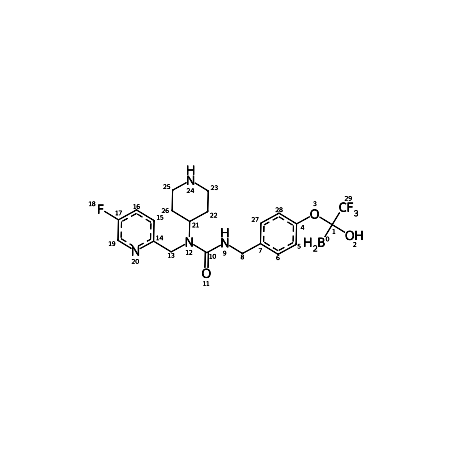 BC(O)(Oc1ccc(CNC(=O)N(Cc2ccc(F)cn2)C2CCNCC2)cc1)C(F)(F)F